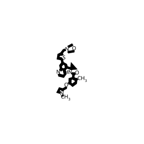 Cc1ccc(OCC2CCN2C)cc1C(=O)NC1(c2cc(-c3ccc(CN4CCOCC4)s3)cc3ncccc23)CC1